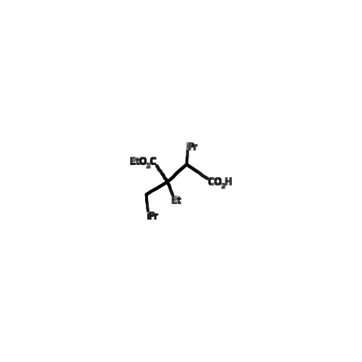 CCOC(=O)C(CC)(CC(C)C)C(C(=O)O)C(C)C